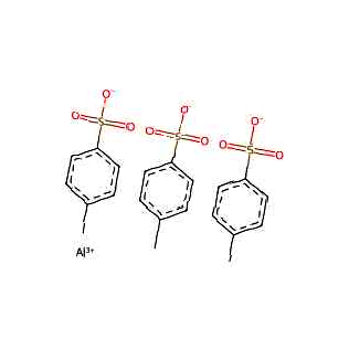 Cc1ccc(S(=O)(=O)[O-])cc1.Cc1ccc(S(=O)(=O)[O-])cc1.Cc1ccc(S(=O)(=O)[O-])cc1.[Al+3]